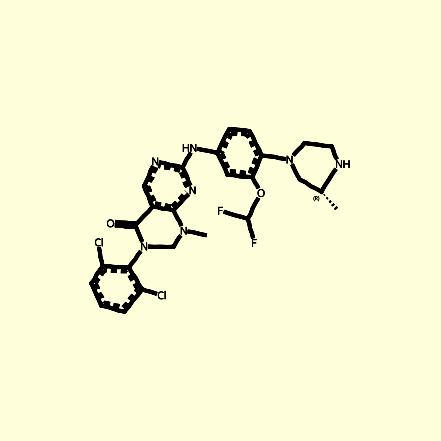 C[C@@H]1CN(c2ccc(Nc3ncc4c(n3)N(C)CN(c3c(Cl)cccc3Cl)C4=O)cc2OC(F)F)CCN1